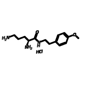 COc1ccc(CCNC(=O)[C@@H](N)CCCN)cc1.Cl